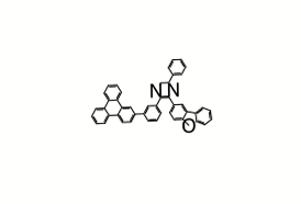 c1ccc(-c2cnc(-c3cccc(-c4ccc5c6ccccc6c6ccccc6c5c4)c3)c(-c3ccc4oc5ccccc5c4c3)n2)cc1